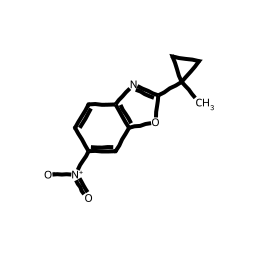 CC1(c2nc3ccc([N+](=O)[O-])cc3o2)CC1